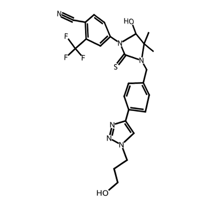 CC1(C)C(O)N(c2ccc(C#N)c(C(F)(F)F)c2)C(=S)N1Cc1ccc(-c2cn(CCCO)nn2)cc1